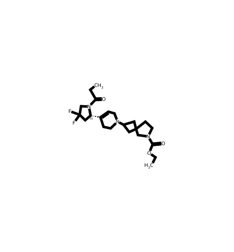 CCOC(=O)N1CCC2(CC(N3CC=C([C@@H]4CC(F)(F)CN4C(=O)CC)CC3)C2)C1